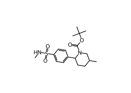 CNS(=O)(=O)c1ccc(C2CCC(C)CN2C(=O)OC(C)(C)C)cc1